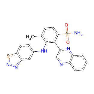 Cc1ccc(S(N)(=O)=O)c(-c2cnc3ccccc3n2)c1Nc1ccc2snnc2c1